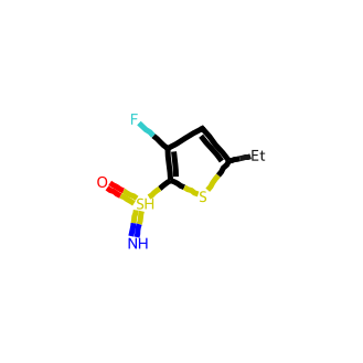 CCc1cc(F)c([SH](=N)=O)s1